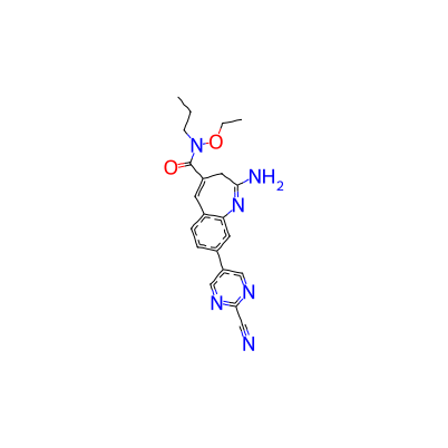 CCCN(OCC)C(=O)C1=Cc2ccc(-c3cnc(C#N)nc3)cc2N=C(N)C1